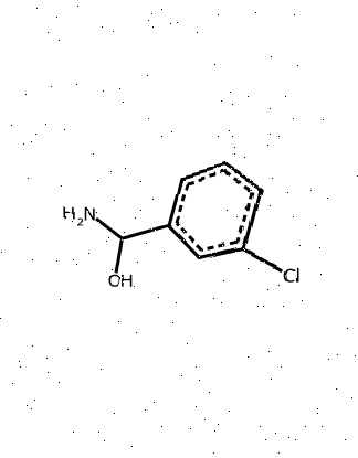 NC(O)c1cccc(Cl)c1